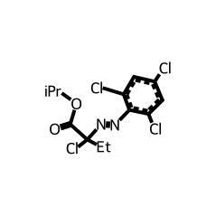 CCC(Cl)(N=Nc1c(Cl)cc(Cl)cc1Cl)C(=O)OC(C)C